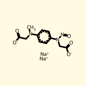 CN(CC(=O)[O-])c1ccc(N(CC(=O)[O-])N=O)cc1.[Na+].[Na+]